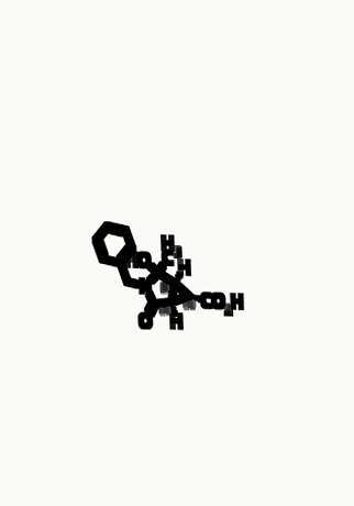 CC1(O)[C@H]2[C@H](C(=O)O)[C@H]2C(=O)N1Cc1ccccc1